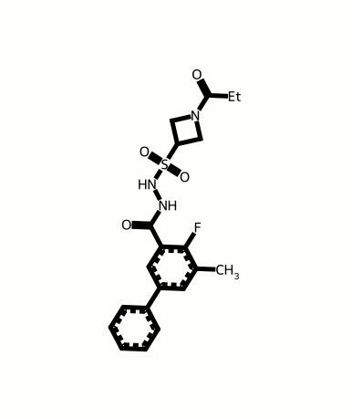 CCC(=O)N1CC(S(=O)(=O)NNC(=O)c2cc(-c3ccccc3)cc(C)c2F)C1